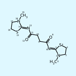 CN1CCSC1=NC(=O)CCC(=O)N=C1SCCN1C